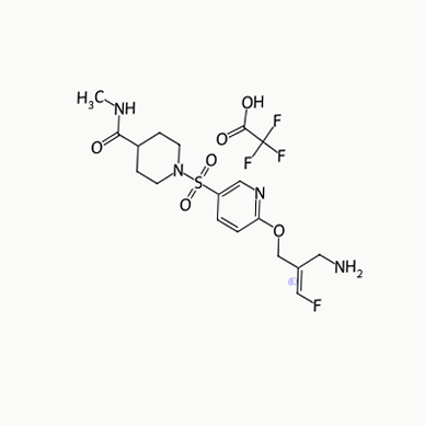 CNC(=O)C1CCN(S(=O)(=O)c2ccc(OC/C(=C/F)CN)nc2)CC1.O=C(O)C(F)(F)F